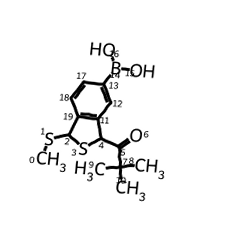 CSC1SC(C(=O)C(C)(C)C)c2cc(B(O)O)ccc21